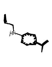 C=CCNc1ccc(C(C)C)cc1